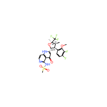 COc1c([C@H]2[C@H](c3cc(=O)c4c(NS(C)(=O)=O)nccc4[nH]3)O[C@@](C)(C(F)(F)F)[C@H]2C)ccc(F)c1F